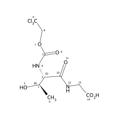 C[C@@H](O)[C@H](NC(=O)OCC(Cl)(Cl)Cl)C(=O)NCC(=O)O